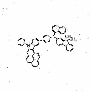 CC1(C)c2ccccc2-c2ccc(N(c3ccc(-c4ccc5c(c4)c4c6ccc7cccc8ccc(cc4n5-c4ccccc4)c6c87)cc3)c3cccc4ccccc34)cc21